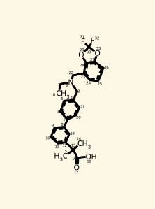 CCN(Cc1ccc(-c2cccc(C(C)(C)C(=O)O)c2)cc1)Cc1cccc2c1OC(F)(F)O2